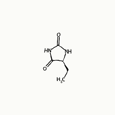 CC[C@@H]1NC(=O)NC1=O